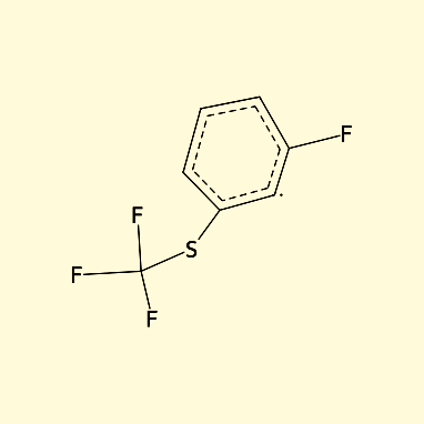 Fc1[c]c(SC(F)(F)F)ccc1